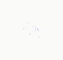 c1ccc(-c2ccnc(-c3ccc4c(-c5ccccc5)c5ccccc5c(-c5ccccc5)c4c3)c2)cc1